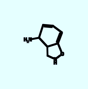 NC1C=CC=C2ONCC21